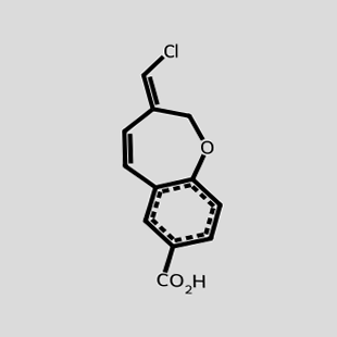 O=C(O)c1ccc2c(c1)C=CC(=CCl)CO2